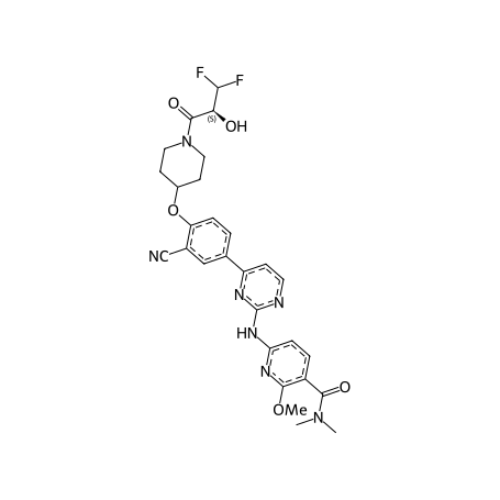 COc1nc(Nc2nccc(-c3ccc(OC4CCN(C(=O)[C@H](O)C(F)F)CC4)c(C#N)c3)n2)ccc1C(=O)N(C)C